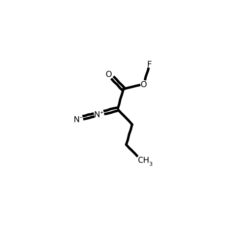 CCCC(=[N+]=[N-])C(=O)OF